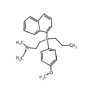 CCC[Si](CCN(C)C)(c1ccc(OC)cc1)c1cccc2ccccc12